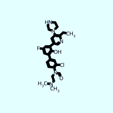 CCc1ncc(-c2cc(F)cc(-c3ccc(N(C=O)CCN(C)C)c(Cl)c3)c2O)cc1N1CCNCC1